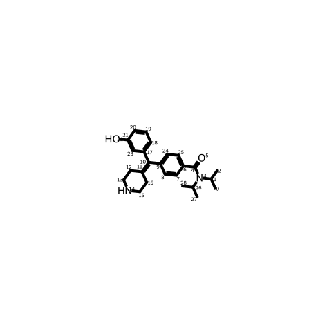 CC(C)N(C(=O)c1ccc(C(=C2CCNCC2)c2cccc(O)c2)cc1)C(C)C